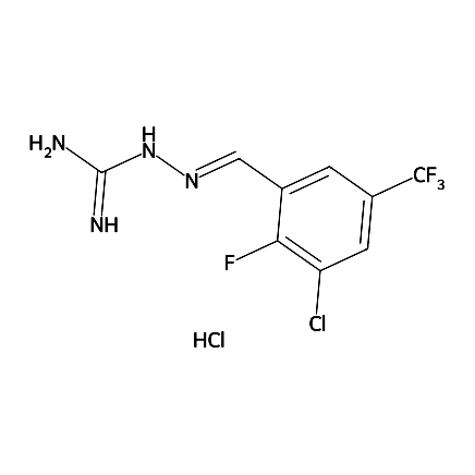 Cl.N=C(N)N/N=C/c1cc(C(F)(F)F)cc(Cl)c1F